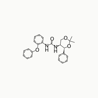 CC1(C)OC[C@H](NC(=O)Nc2ccccc2Oc2ccccc2)[C@H](c2ccccc2)O1